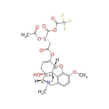 COc1ccc2c3c1O[C@H]1C(OC(=O)C[C@H](OC(C)=O)C(=O)OC(=O)C(F)(F)F)=CC[C@@]4(O)[C@@H](C2)N(C)CC[C@]314